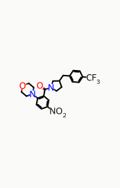 O=C(c1cc([N+](=O)[O-])ccc1N1CCOCC1)N1CCC(Cc2ccc(C(F)(F)F)cc2)C1